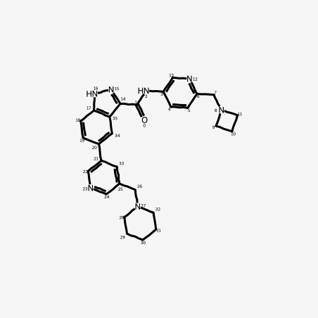 O=C(Nc1ccc(CN2CCC2)nc1)c1n[nH]c2ccc(-c3cncc(CN4CCCCC4)c3)cc12